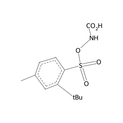 Cc1ccc(S(=O)(=O)ONC(=O)O)c(C(C)(C)C)c1